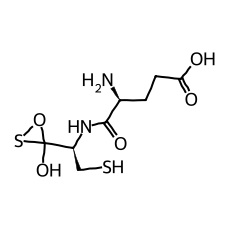 N[C@@H](CCC(=O)O)C(=O)N[C@@H](CS)C1(O)OS1